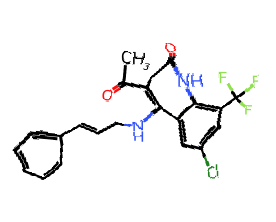 CC(=O)c1c(NC/C=C/c2ccccc2)c2cc(Cl)cc(C(F)(F)F)c2[nH]c1=O